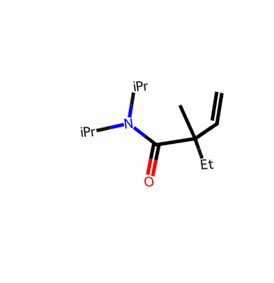 C=CC(C)(CC)C(=O)N(C(C)C)C(C)C